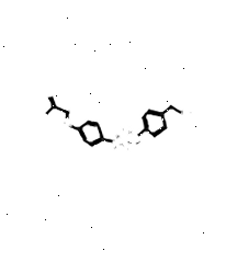 C=C(C)C(=O)Nc1ccc(S(=O)(=O)NS(=O)(=O)c2ccc(CC(C)C)cc2)cc1